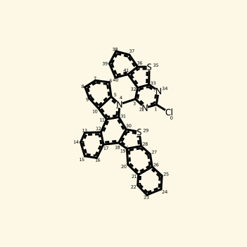 Clc1nc(-n2c3ccccc3c3c4ccccc4c4c5cc6ccccc6cc5sc4c32)c2c(n1)sc1ccccc12